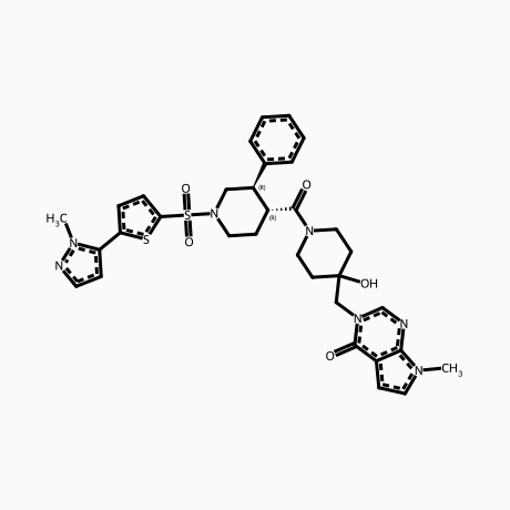 Cn1nccc1-c1ccc(S(=O)(=O)N2CC[C@@H](C(=O)N3CCC(O)(Cn4cnc5c(ccn5C)c4=O)CC3)[C@H](c3ccccc3)C2)s1